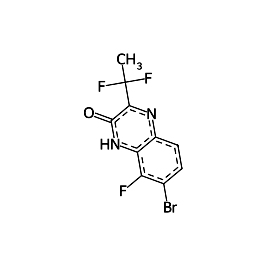 CC(F)(F)c1nc2ccc(Br)c(F)c2[nH]c1=O